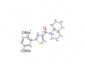 COc1ccc(OC)c(-c2nc(C(=O)N3CCCC4CCCCC43)cs2)c1